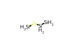 [SiH3][SiH2]S[SiH3]